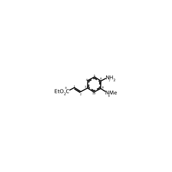 CCOC(=O)C=Cc1ccc(N)c(NC)c1